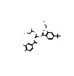 COCC(C)NC(=NC(=O)c1ccc(F)c(F)c1)Nc1nn(CSC)c2cc(C(F)(F)F)ccc12